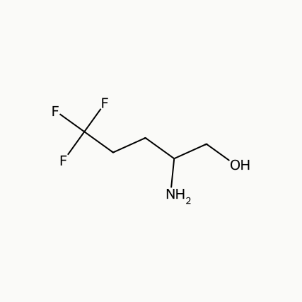 NC(CO)CCC(F)(F)F